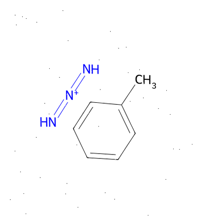 Cc1ccccc1.N=[N+]=N